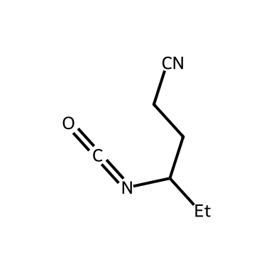 CCC(CCC#N)N=C=O